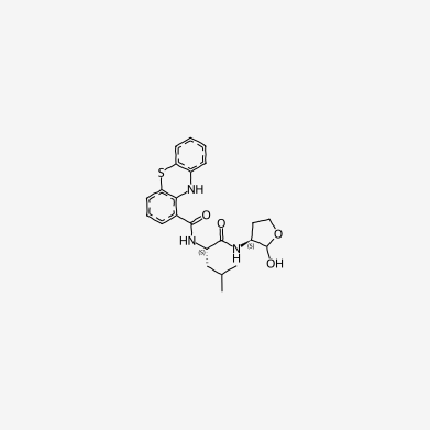 CC(C)C[C@H](NC(=O)c1cccc2c1Nc1ccccc1S2)C(=O)N[C@H]1CCOC1O